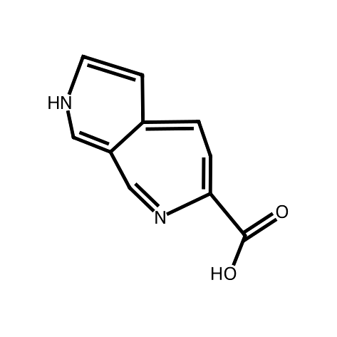 O=C(O)C1=CC=C2C=CNC=C2C=N1